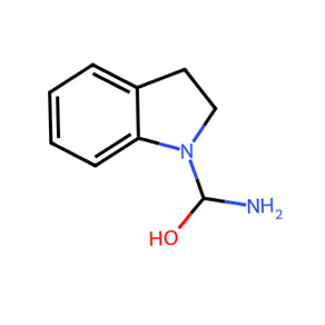 NC(O)N1CCc2ccccc21